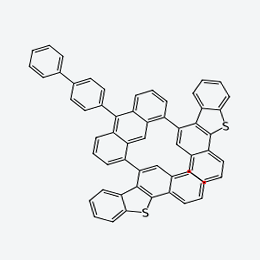 c1ccc(-c2ccc(-c3c4cccc(-c5cc6ccccc6c6sc7ccccc7c56)c4cc4c(-c5cc6ccccc6c6sc7ccccc7c56)cccc34)cc2)cc1